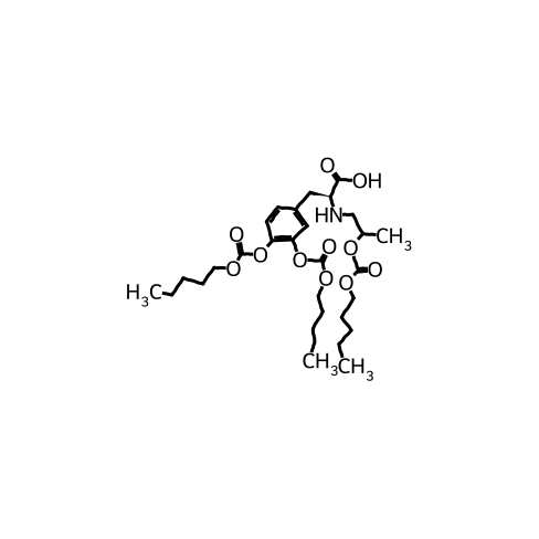 CCCCCOC(=O)Oc1ccc(C[C@H](NCC(C)OC(=O)OCCCCC)C(=O)O)cc1OC(=O)OCCCCC